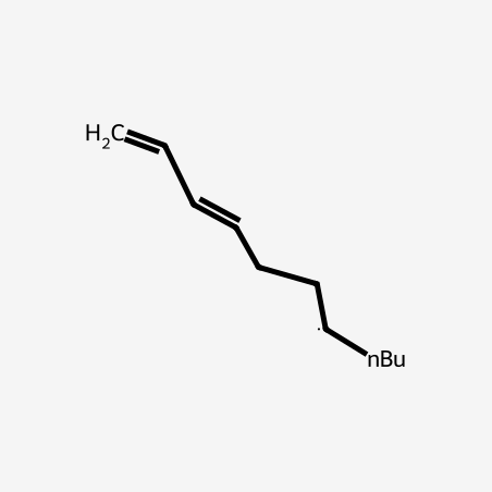 C=CC=CCC[CH]CCCC